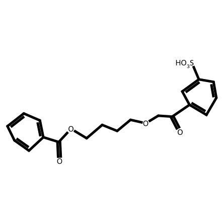 O=C(COCCCCOC(=O)c1ccccc1)c1cccc(S(=O)(=O)O)c1